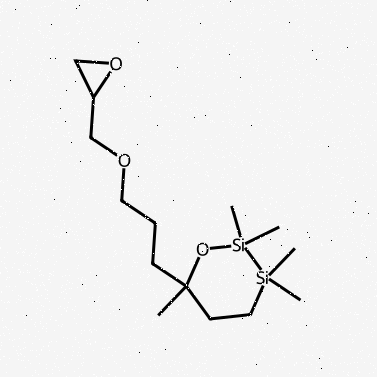 CC1(CCCOCC2CO2)CC[Si](C)(C)[Si](C)(C)O1